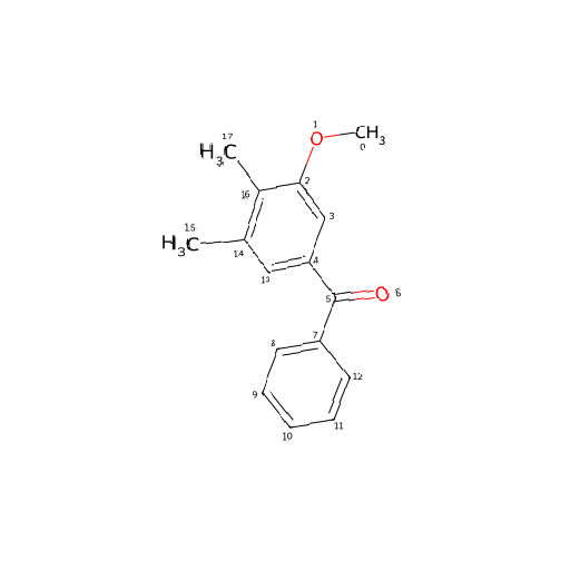 COc1cc(C(=O)c2ccccc2)cc(C)c1C